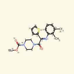 Cc1c(N=C(C(=O)N2CCN(C(=O)OC(C)(C)C)CC2)c2cccs2)cccc1C(F)(F)F